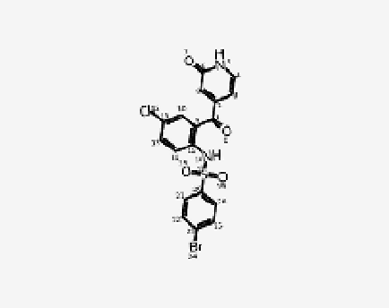 O=C(c1cc[nH]c(=O)c1)c1cc(Cl)ccc1NS(=O)(=O)c1ccc(Br)cc1